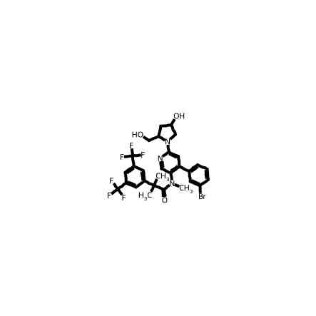 CN(C(=O)C(C)(C)c1cc(C(F)(F)F)cc(C(F)(F)F)c1)c1cnc(N2CC(O)CC2CO)cc1-c1cccc(Br)c1